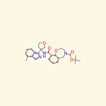 Cc1cccn2c(C3(NC(=O)c4cccc5c4OCCN(C(=O)OC(C)(C)C)C5)CCOC3)ncc12